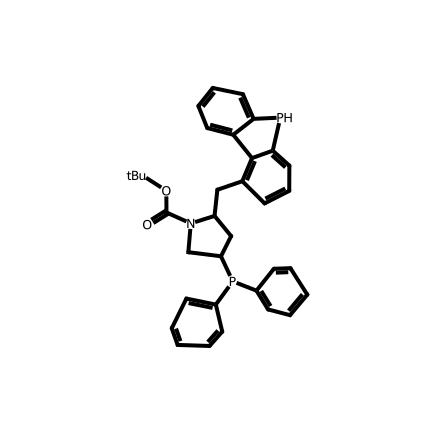 CC(C)(C)OC(=O)N1CC(P(c2ccccc2)c2ccccc2)CC1Cc1cccc2[pH]c3ccccc3c12